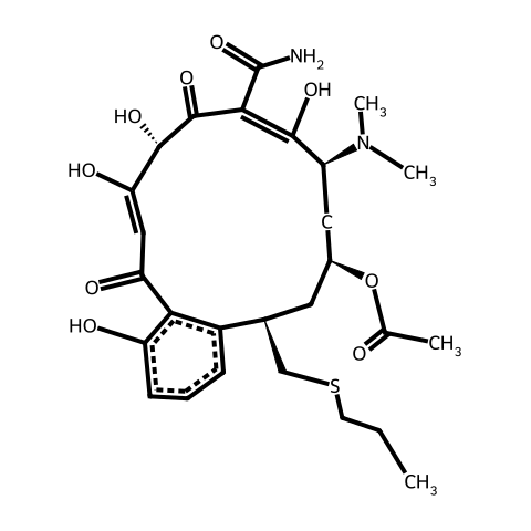 CCCSC[C@@H]1C[C@H](OC(C)=O)C[C@H](N(C)C)/C(O)=C(/C(N)=O)C(=O)[C@@H](O)/C(O)=C/C(=O)c2c(O)cccc21